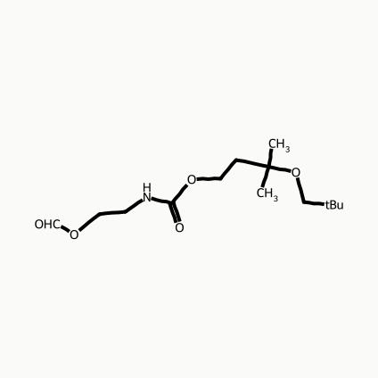 CC(C)(C)COC(C)(C)CCOC(=O)NCCOC=O